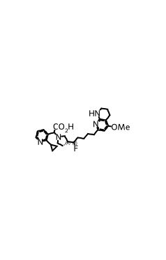 COc1cc(CCCC[C@@H](F)[C@@H]2CCN(C(C(=O)O)c3cccnc3C3CC3)C2)nc2c1CCCN2